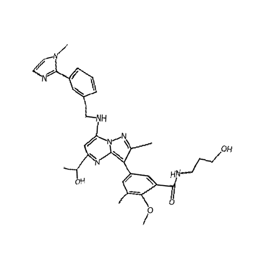 COc1c(C)cc(-c2c(C)nn3c(NCc4cccc(-c5nccn5C)c4)cc(C(C)O)nc23)cc1C(=O)NCCCO